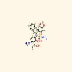 CCC(O)c1c(N)ccc(C(C(Cc2ccccc2)c2ccc3c(c2)OCO3)S(N)(=O)=O)c1O